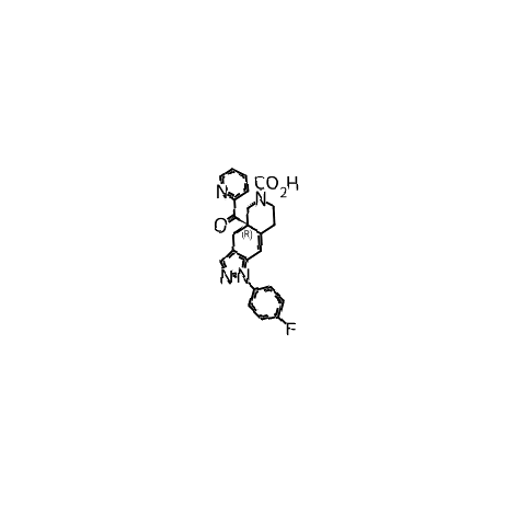 O=C(O)N1CCC2=Cc3c(cnn3-c3ccc(F)cc3)C[C@]2(C(=O)c2ccccn2)C1